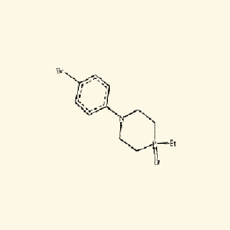 CCP1(=O)CCN(c2ccc(Br)cc2)CC1